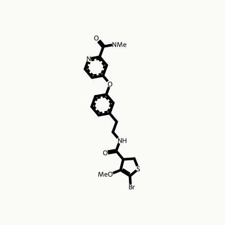 CNC(=O)c1cc(Oc2cccc(CCNC(=O)C3CSC(Br)=C3OC)c2)ccn1